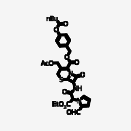 CCCCC(=O)Oc1ccc(COC(=O)C2=C(COC(C)=O)CSC3C(NC(=O)C(C(=O)OCC)n4cccc4C=O)C(=O)N23)cc1